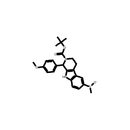 COc1ccc(C2c3[nH]c4ccc([S+](C)[O-])cc4c3CCN2C(=O)OC(C)(C)C)cc1